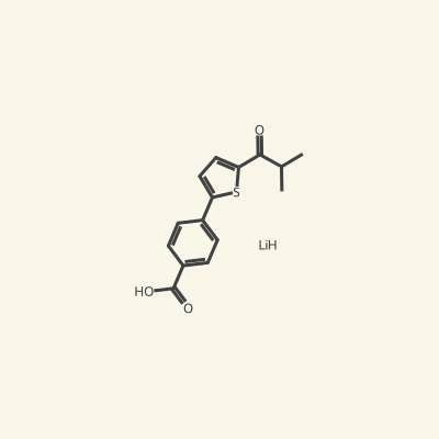 CC(C)C(=O)c1ccc(-c2ccc(C(=O)O)cc2)s1.[LiH]